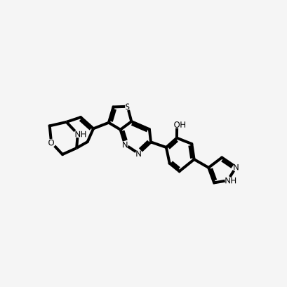 Oc1cc(-c2cn[nH]c2)ccc1-c1cc2scc(C3=CC4COCC(C3)N4)c2nn1